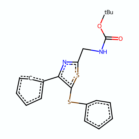 CC(C)(C)OC(=O)NCc1nc(-c2ccccc2)c(Sc2ccccc2)s1